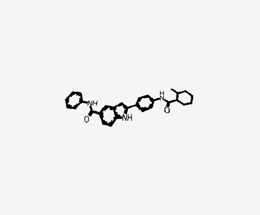 CC1CCCCC1C(=O)Nc1ccc(-c2cc3cc(C(=O)Nc4ccccc4)ccc3[nH]2)cc1